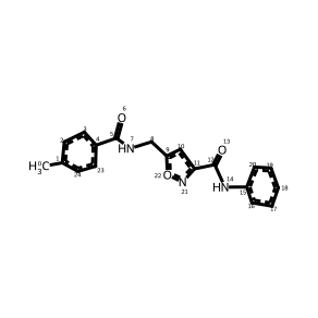 Cc1ccc(C(=O)NCc2cc(C(=O)Nc3ccccc3)no2)cc1